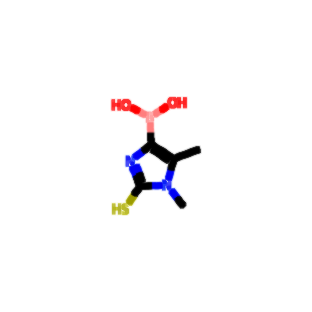 Cc1c(B(O)O)nc(S)n1C